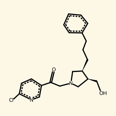 O=C(CN1C[C@@H](CCCc2ccccc2)[C@@H](CO)C1)c1ccc(Cl)nc1